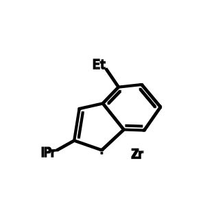 CCc1cccc2c1C=C(C(C)C)[CH]2.[Zr]